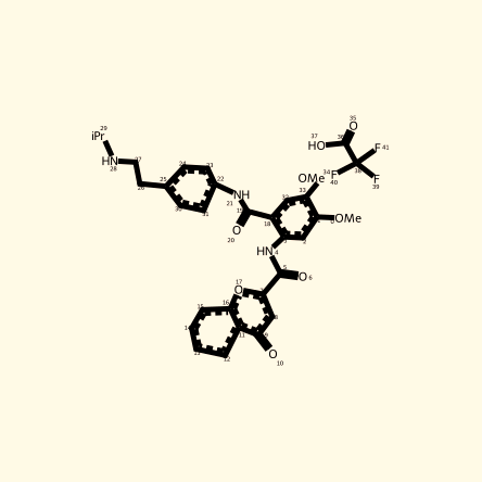 COc1cc(NC(=O)c2cc(=O)c3ccccc3o2)c(C(=O)Nc2ccc(CCNC(C)C)cc2)cc1OC.O=C(O)C(F)(F)F